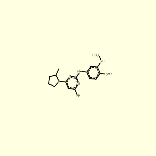 CCCc1cc(N2CCCC2C)nc(Nc2ccc(OC)c(NC(=O)O)c2)n1